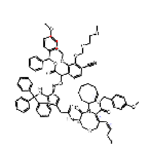 COCCOCOc1c(C#N)ccc(C(ON=S2C=C(CC(=O)N[C@@H]3CSCC(/C=C\CI)=C(/C(=O)OCc4ccc(OC)cc4)N(C4/C=C\CCCCC4)C3=O)N=C2NC(c2ccccc2)(c2ccccc2)c2ccccc2)C(=O)OC(c2ccccc2)c2ccccc2)c1OCOCCOC